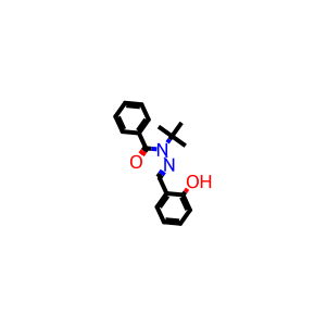 CC(C)(C)N(/N=C/c1ccccc1O)C(=O)c1ccccc1